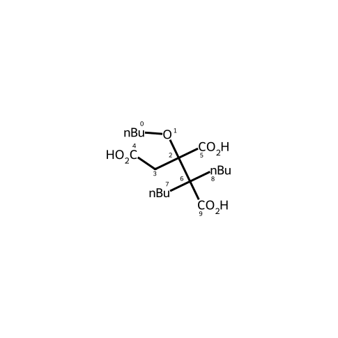 CCCCOC(CC(=O)O)(C(=O)O)C(CCCC)(CCCC)C(=O)O